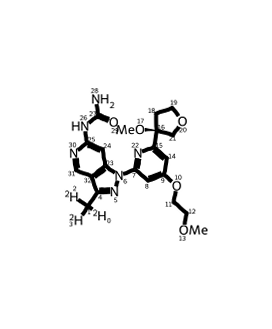 [2H]C([2H])([2H])c1nn(-c2cc(OCCOC)cc([C@]3(OC)CCOC3)n2)c2cc(NC(N)=O)ncc12